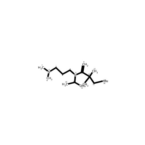 C=C(N(CCCN(C)C)C(C)O)C(C)(C)CC(C)(C)C